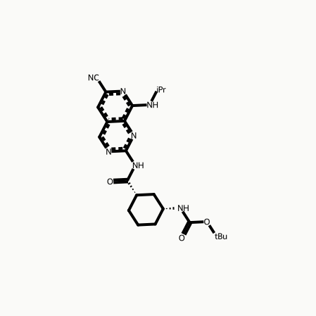 CC(C)Nc1nc(C#N)cc2cnc(NC(=O)[C@H]3CCC[C@@H](NC(=O)OC(C)(C)C)C3)nc12